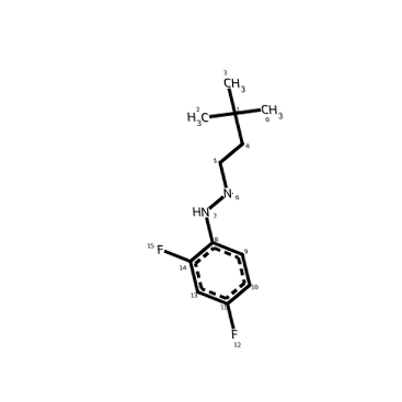 CC(C)(C)CC[N]Nc1ccc(F)cc1F